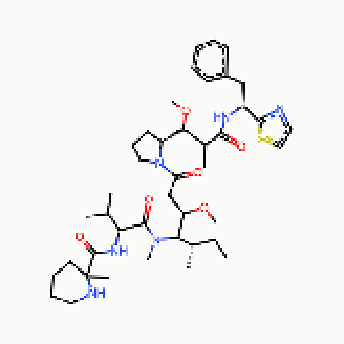 CC[C@H](C)C([C@@H](CC(=O)N1CCC[C@H]1C(OC)C(C)C(=O)N[C@@H](Cc1ccccc1)c1nccs1)OC)N(C)C(=O)[C@@H](NC(=O)C1(C)CCCCN1)C(C)C